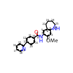 COc1cc2c(cc1NC(=O)c1ccc(-c3ccccn3)cc1)CCCCN2